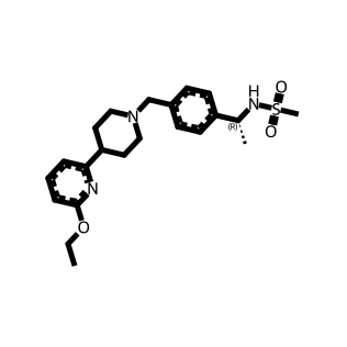 CCOc1cccc(C2CCN(Cc3ccc([C@@H](C)NS(C)(=O)=O)cc3)CC2)n1